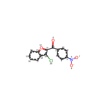 O=C(c1ccc([N+](=O)[O-])cc1)c1oc2ccccc2c1Cl